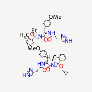 CCOC1(c2ccccc2C)CN(C(=O)[C@H](Cc2ccc(OC)cc2)NC(=O)CCc2c[nH]cn2)C1.COc1ccc(C[C@H](NC(=O)CCc2c[nH]cn2)C(=O)N2CC(OCC3CC3)(c3ccccc3C)C2)cc1